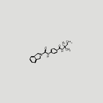 CCC(C)(C)NC(=O)c1ccc(NC(=O)N2Cc3ccccc3C2)cc1